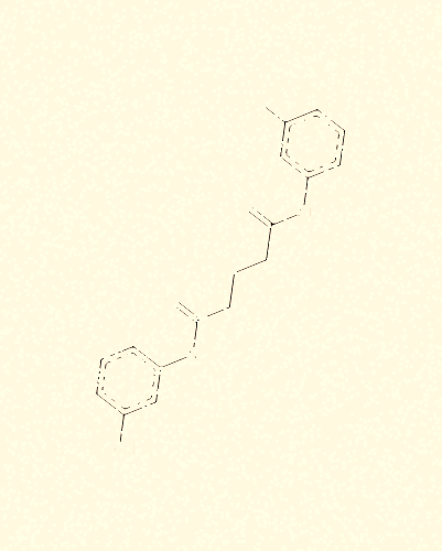 O=C(CCCC(=O)Nc1cccc(O)c1)Nc1cccc(O)c1